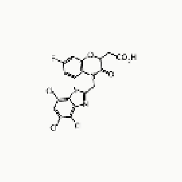 O=C(O)CC1Oc2cc(F)ccc2N(Cc2nc3c(Cl)c(Cl)cc(Cl)c3s2)C1=O